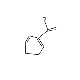 O=C(Cl)C1=CCCC=C1